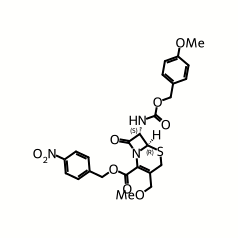 COCC1=C(C(=O)OCc2ccc([N+](=O)[O-])cc2)N2C(=O)[C@H](NC(=O)OCc3ccc(OC)cc3)[C@H]2SC1